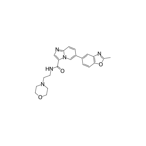 Cc1nc2cc(-c3ccc4ncc(C(=O)NCCN5CCOCC5)n4c3)ccc2o1